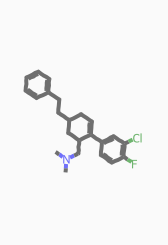 CN(C)CC1CC(CCc2ccccc2)CC=C1c1ccc(F)c(Cl)c1